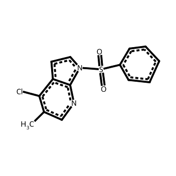 Cc1cnc2c(ccn2S(=O)(=O)c2ccccc2)c1Cl